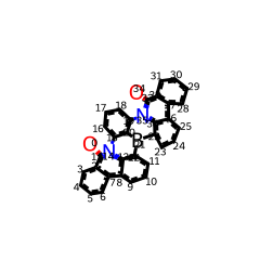 O=c1c2ccccc2c2cccc3c2n1-c1cccc2c1B3c1cccc3c4ccccc4c(=O)n-2c13